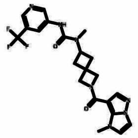 CN(C(=O)Nc1cncc(C(F)(F)F)c1)C1CC2(C1)CN(C(=O)c1cnn3ccn(C)c13)C2